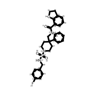 O=C(NCC1(c2ccccc2)CCN(S(=O)(=O)NCc2ccc(F)cc2)CC1)c1cccc2c1OCC2